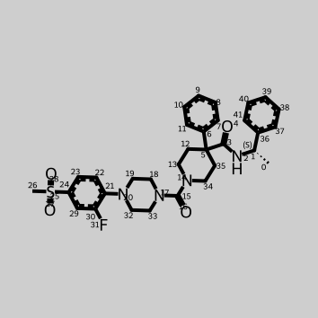 C[C@H](NC(=O)C1(c2ccccc2)CCN(C(=O)N2CCN(c3ccc(S(C)(=O)=O)cc3F)CC2)CC1)c1ccccc1